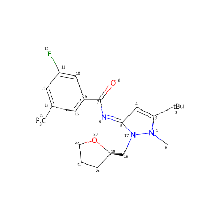 Cn1c(C(C)(C)C)cc(=NC(=O)c2cc(F)cc(C(F)(F)F)c2)n1C[C@H]1CCCO1